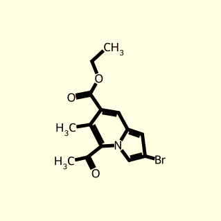 CCOC(=O)c1cc2cc(Br)cn2c(C(C)=O)c1C